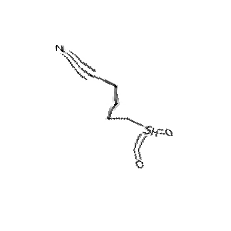 N#CCC[SH](=O)=O